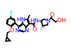 Cc1[nH]c2c(-c3cc(F)ccc3OCC3CC3)ncnc2c1C(=O)N[C@@H]1CN(C(=O)CO)C[C@@H]1C